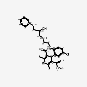 COC(=O)C1=C(C)NC(C)=C(C(=O)OC)C1c1cc(Cl)ccc1OCCNCC(O)COc1ccccc1